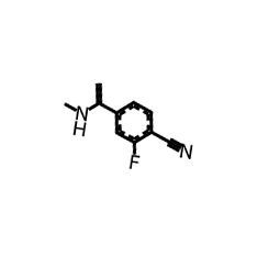 C=C(NC)c1ccc(C#N)c(F)c1